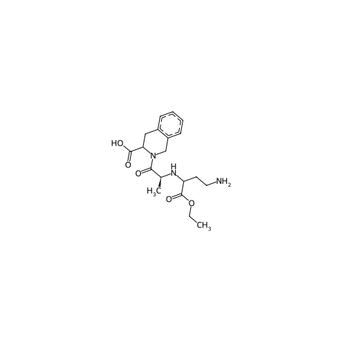 CCOC(=O)C(CCN)N[C@@H](C)C(=O)N1Cc2ccccc2CC1C(=O)O